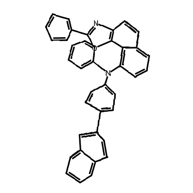 c1ccc(-c2nc3ccc4cccc(N(c5ccccc5)c5ccc(-c6ccc7ccccc7c6)cc5)c4c3o2)cc1